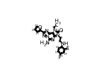 CCn1c(=O)n(CCNc2ccc(F)cc2F)c2nc(N)n3nc(-c4ccco4)nc3c21